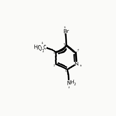 Nc1cc(C(=O)O)c(Br)cn1